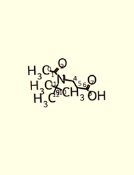 CC(=O)N(CCC(=O)O)C(C)(C)C